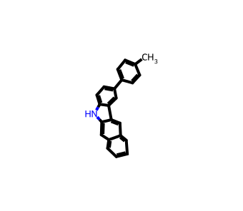 Cc1ccc(-c2ccc3[nH]c4cc5ccccc5cc4c3c2)cc1